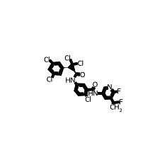 C=C(F)c1cc(NC(=O)c2cc(NC(=O)[C@H]3[C@H](c4cc(Cl)cc(Cl)c4)C3(Cl)Cl)ccc2Cl)cnc1F